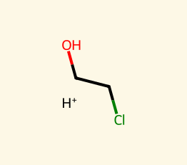 OCCCl.[H+]